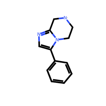 c1ccc(-c2cnc3n2CC[N]C3)cc1